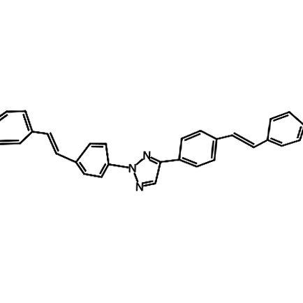 C(=Cc1ccc(-c2cnn(-c3ccc(C=Cc4ccccc4)cc3)n2)cc1)c1ccccc1